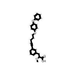 COC(Cc1cccc(C#CCCCOc2ccc(Oc3ccccc3)cc2)c1)C(=O)O